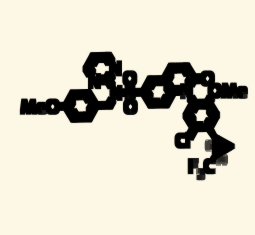 COc1ccc(CN(c2ncccn2)S(=O)(=O)c2ccc3c(ccc(=O)n3-c3cc(Cl)c([C@H]4C[C@@H]4C(F)(F)F)cc3OC)c2)cc1